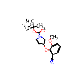 COc1cccc(C#N)c1OC1CCN(C(=O)OC(C)(C)C)C1